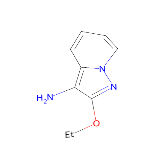 [CH2]COc1nn2ccccc2c1N